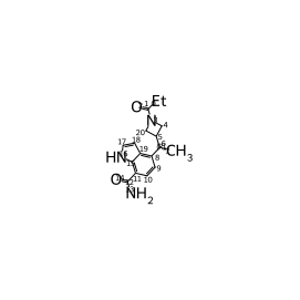 CCC(=O)N1CC([C@@H](C)c2ccc(C(N)=O)c3[nH]ccc23)C1